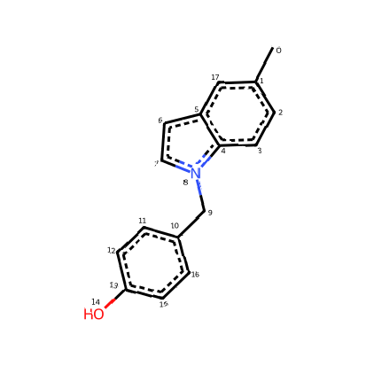 Cc1ccc2c(ccn2Cc2ccc(O)cc2)c1